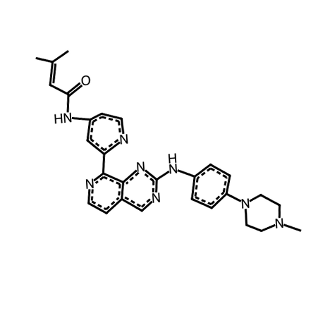 CC(C)=CC(=O)Nc1ccnc(-c2nccc3cnc(Nc4ccc(N5CCN(C)CC5)cc4)nc23)c1